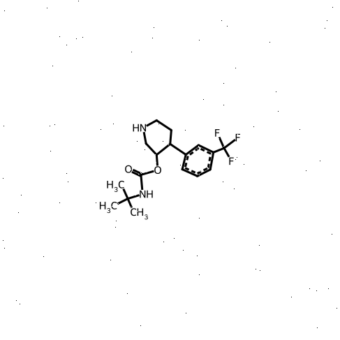 CC(C)(C)NC(=O)OC1CNCCC1c1cccc(C(F)(F)F)c1